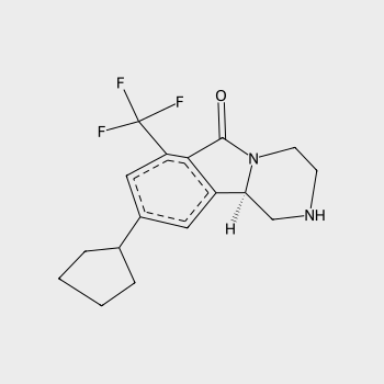 O=C1c2c(cc(C3CCCC3)cc2C(F)(F)F)[C@@H]2CNCCN12